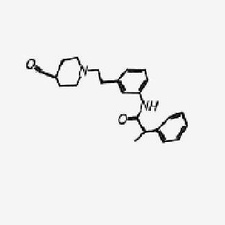 CC(C(=O)Nc1cccc(CCN2CCC([C]=O)CC2)c1)c1ccccc1